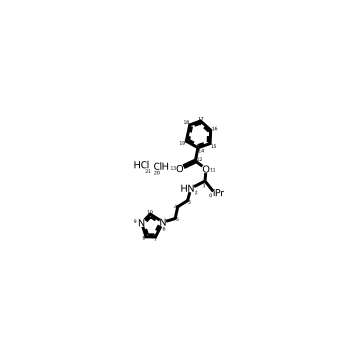 CC(C)C(NCCCn1ccnc1)OC(=O)c1ccccc1.Cl.Cl